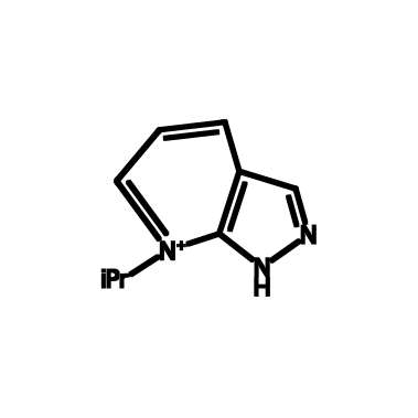 CC(C)[n+]1cccc2cn[nH]c21